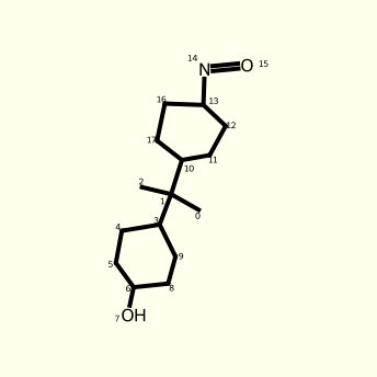 CC(C)(C1CCC(O)CC1)C1CCC(N=O)CC1